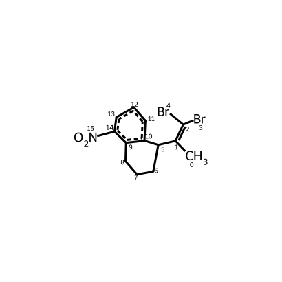 CC(=C(Br)Br)C1CCCc2c1cccc2[N+](=O)[O-]